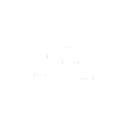 O=C(O)/C=C(/C(=O)O)P(=O)(O)O